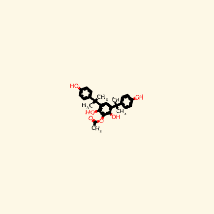 CC(=O)Oc1c(O)c(C(C)(C)c2ccc(O)cc2)cc(C(C)(C)c2ccc(O)cc2)c1O